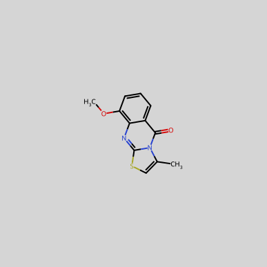 COc1cccc2c(=O)n3c(C)csc3nc12